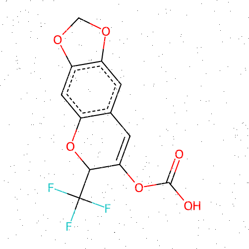 O=C(O)OC1=Cc2cc3c(cc2OC1C(F)(F)F)OCO3